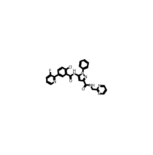 O=C(NCc1ncccn1)c1cc(NC(=O)c2cc(-c3ncccc3F)ccc2Cl)n(-c2ccccc2)n1